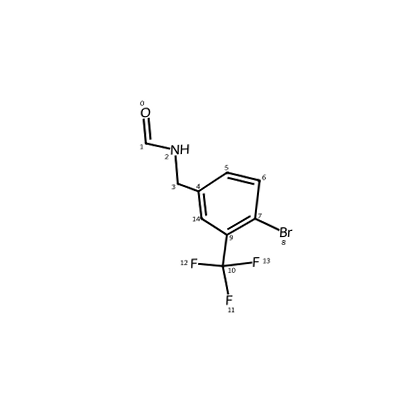 O=CNCc1ccc(Br)c(C(F)(F)F)c1